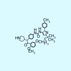 COc1ccc(OC)c(C(=O)C(c2ccc(NC(=O)NC3=CC(C(C)(C)C)=NC3c3ccc(C)cc3)cc2)C2CCNCC2)c1